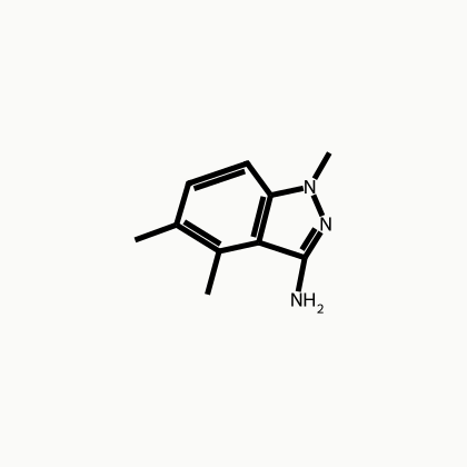 Cc1ccc2c(c(N)nn2C)c1C